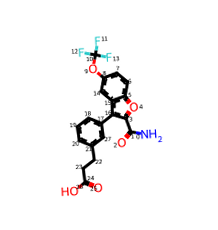 NC(=O)c1oc2ccc(OC(F)(F)F)cc2c1-c1cccc(CCC(=O)O)c1